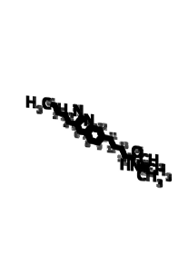 CCCCCc1cc2ccc(CCCCC(=O)NC(C)(C)C)cc2nc1N